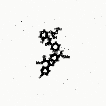 CNC(=O)c1c(-c2ccc(F)cc2)oc2cc(N(C)SC)c([C@H]3CCCN(C(=O)[C@@H](NC(=O)OC(C)(C)C)c4ccccc4F)C3)cc12